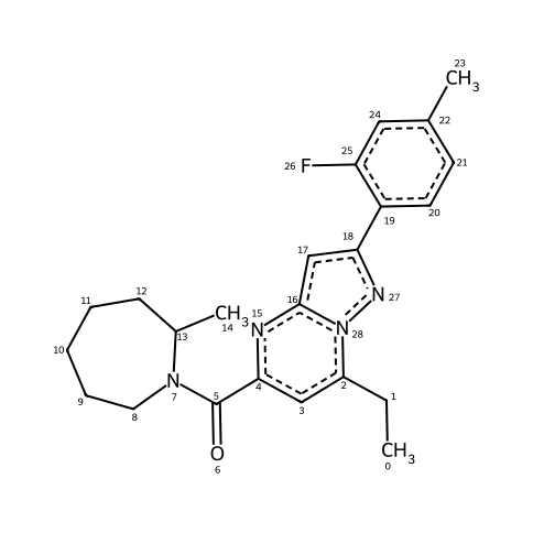 CCc1cc(C(=O)N2CCCCCC2C)nc2cc(-c3ccc(C)cc3F)nn12